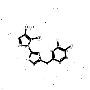 CCOC(=O)c1cnn(-c2nc(Cc3ccc(Cl)c(Cl)c3)cs2)c1C(F)(F)F